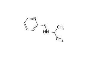 CC(C)NSc1ccccn1